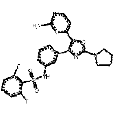 Nc1nccc(-c2oc(N3CCCC3)nc2-c2cccc(NS(=O)(=O)c3c(F)cccc3F)c2)n1